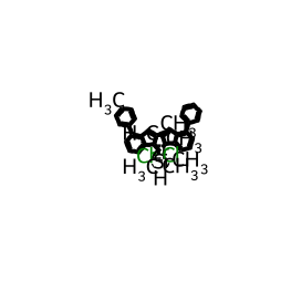 CC1=Cc2c(-c3ccccc3)ccc(C)c2[CH]1[Zr]([Cl])([Cl])([CH]1C(C(C)C)=Cc2c(-c3ccc(C)cc3)cccc21)[SiH](C)C